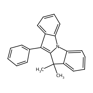 CC1(C)c2ccccc2-n2c1c(-c1ccccc1)c1ccccc12